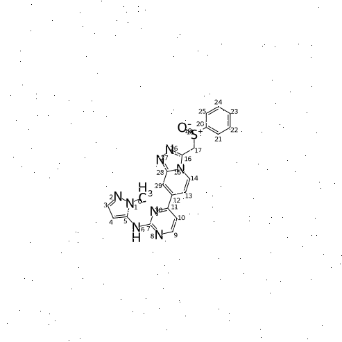 Cn1nccc1Nc1nccc(-c2ccn3c(C[S+]([O-])c4ccccc4)nnc3c2)n1